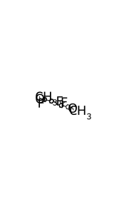 COc1ccc(-c2ccc(CCc3ccc(C4CCC(OC)CC4)c(F)c3F)cc2)cc1F